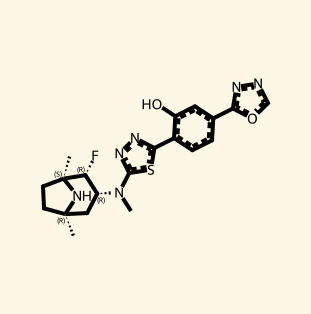 CN(c1nnc(-c2ccc(-c3nnco3)cc2O)s1)[C@@H]1C[C@@]2(C)CC[C@](C)(N2)[C@@H]1F